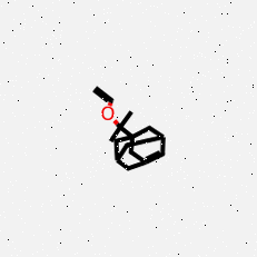 C=COC(C)(C)C12CC3=CC(CC(C3)C1)C2